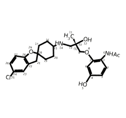 CC(=O)Nc1ccc(O)cc1OC[C@@](C)(O)CNC1CCC2(CC1)Cc1cc(Cl)ccc1O2